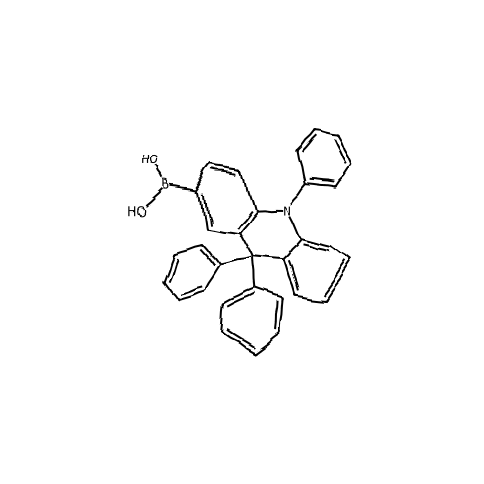 OB(O)c1ccc2c(c1)C(c1ccccc1)(c1ccccc1)c1ccccc1N2c1ccccc1